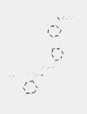 CNC(=O)c1cc(Oc2ccc(CNC(=O)Nc3c(OC)cc(Cl)c(C)c3Cl)cc2)ccn1